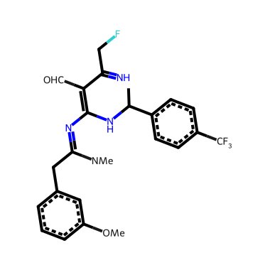 CN/C(Cc1cccc(OC)c1)=N\C(NC(C)c1ccc(C(F)(F)F)cc1)=C(/C=O)C(=N)CF